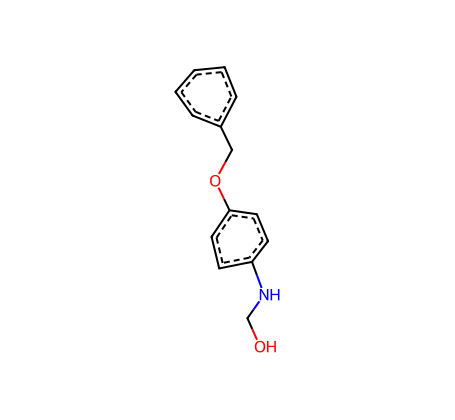 OCNc1ccc(OCc2ccccc2)cc1